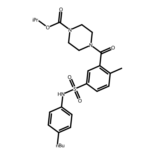 CCCCc1ccc(NS(=O)(=O)c2ccc(C)c(C(=O)N3CCN(C(=O)OC(C)C)CC3)c2)cc1